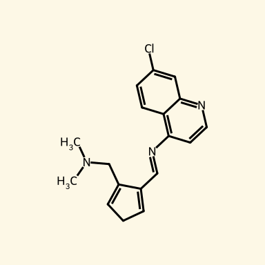 CN(C)CC1=CCC=C1C=Nc1ccnc2cc(Cl)ccc12